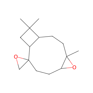 CC1(C)CC2C1CCC1(C)OC1CCC21CO1